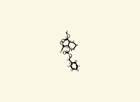 COC(=O)C1CCCN(C(=O)OCc2ccccc2)C1C(C)=O